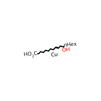 CCCCCCC(O)C/C=C/CCCCCCCC(=O)O.[Cu]